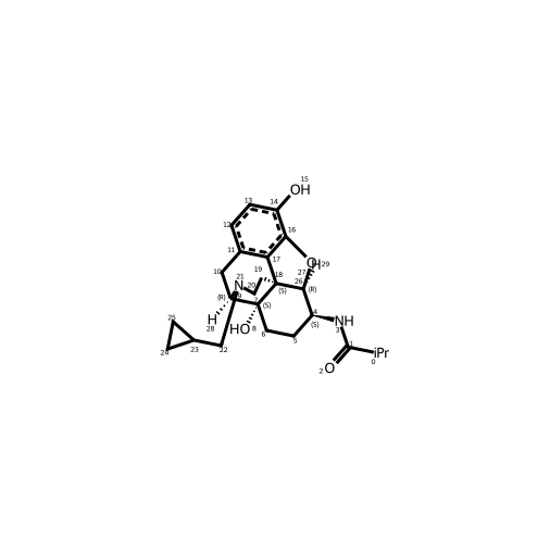 CC(C)C(=O)N[C@H]1CC[C@@]2(O)[C@H]3Cc4ccc(O)c5c4[C@@]2(CCN3CC2CC2)[C@H]1O5